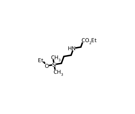 CCOC(=O)CNCCC[Si](C)(C)OCC